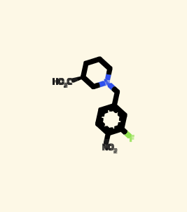 O=C(O)[C@H]1CCCN(Cc2ccc([N+](=O)[O-])c(F)c2)C1